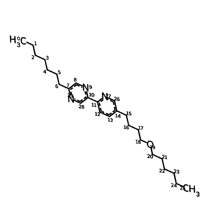 CCCCCCCc1cnc(-c2ccc(CCCCOCCCCCC)cn2)cn1